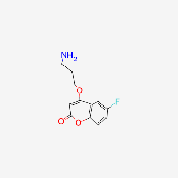 NCCCOc1cc(=O)oc2ccc(F)cc12